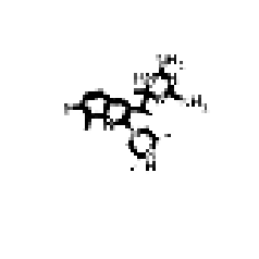 Cc1c(F)ccc2cc([C@H](C)C3(C)N=C(N)N=C(N)N3)c(N3C[C@@H](C)N[C@@H](C)C3)nc12